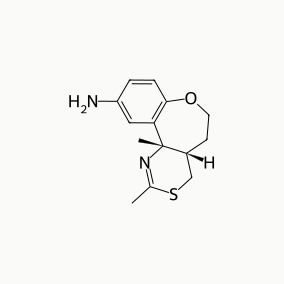 CC1=N[C@]2(C)c3cc(N)ccc3OCC[C@@H]2CS1